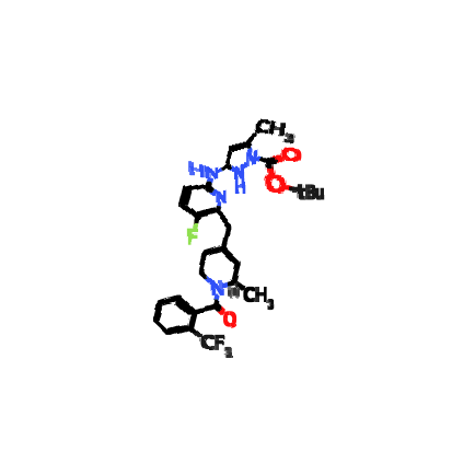 CC1=CC(Nc2ccc(F)c(CC3CCN(C(=O)c4ccccc4C(F)(F)F)[C@H](C)C3)n2)NN1C(=O)OC(C)(C)C